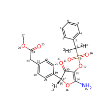 [2H]C([2H])(c1ccccc1)S(=O)(=O)OC1=C(N)O[C@]([2H])(c2ccc(CC(=O)OC)cc2)C1=O